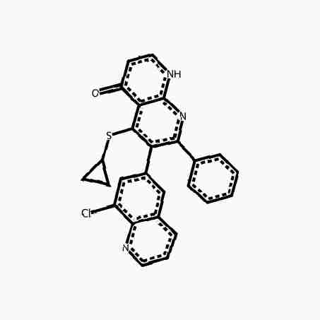 O=c1cc[nH]c2nc(-c3ccccc3)c(-c3cc(Cl)c4ncccc4c3)c(SC3CC3)c12